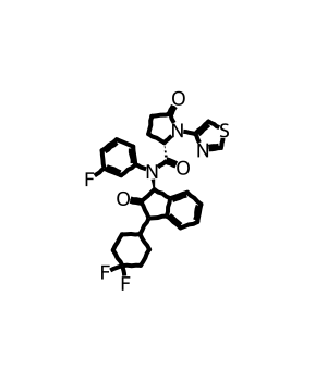 O=C1C(C2CCC(F)(F)CC2)c2ccccc2[C@@H]1N(C(=O)[C@@H]1CCC(=O)N1c1cscn1)c1cccc(F)c1